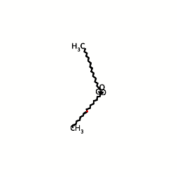 CCCCCCCC=CCCCCCCCCC(=O)OC(=O)CCCCCCCC=CCCCCCCCC